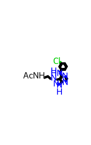 CC(=O)NCCCNc1n[nH]c2ncnc(Nc3cccc(Cl)c3)c12